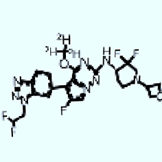 [2H]C([2H])([2H])Oc1nc(N[C@@H]2CCN(C3COC3)CC2(F)F)nn2cc(F)c(-c3ccc4nnn(CC(F)F)c4c3)c12